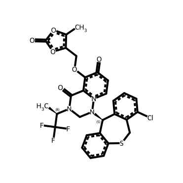 Cc1oc(=O)oc1COc1c2n(ccc1=O)N([C@@H]1c3ccccc3SCc3c(Cl)cccc31)CN([C@H](C)C(F)(F)F)C2=O